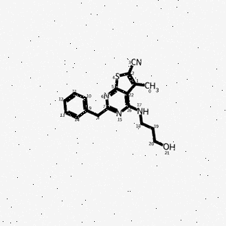 Cc1c(C#N)sc2nc(Cc3ccccc3)nc(NCCCO)c12